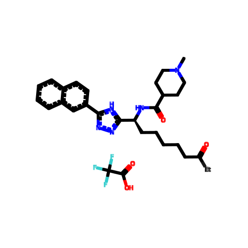 CCC(=O)CCCCC[C@H](NC(=O)C1CCN(C)CC1)c1nnc(-c2ccc3ccccc3c2)[nH]1.O=C(O)C(F)(F)F